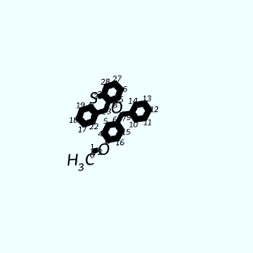 CCOc1ccc(C(=O)c2ccccc2)cc1.c1ccc2c(c1)Cc1ccccc1S2